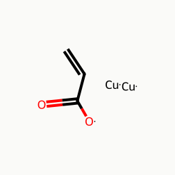 C=CC([O])=O.[Cu].[Cu]